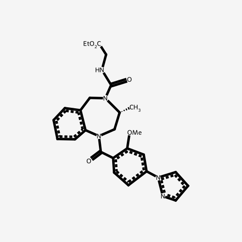 CCOC(=O)CNC(=O)N1Cc2ccccc2N(C(=O)c2ccc(-n3cccn3)cc2OC)C[C@H]1C